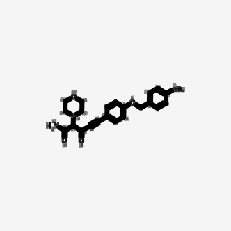 CCCCc1ccc(COc2ccc(C#CC(=O)C(C(N)=O)N3CCOCC3)cc2)cc1